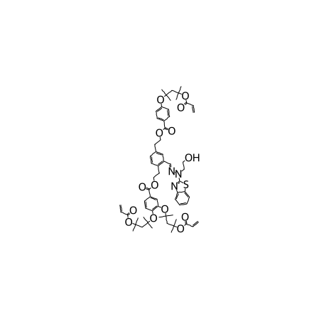 C=CC(=O)OC(C)(C)CC(C)(C)Oc1ccc(C(=O)OCCc2ccc(CCOC(=O)c3ccc(OC(C)(C)CC(C)(C)OC(=O)C=C)c(OC(C)(C)CC(C)(C)OC(=O)C=C)c3)c(/C=N/N(CCO)c3nc4ccccc4s3)c2)cc1